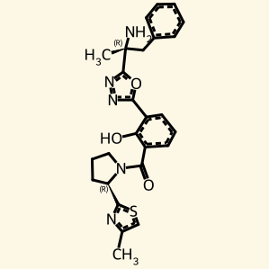 Cc1csc([C@H]2CCCN2C(=O)c2cccc(-c3nnc([C@](C)(N)Cc4ccccc4)o3)c2O)n1